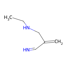 C=C(C=N)CNCC